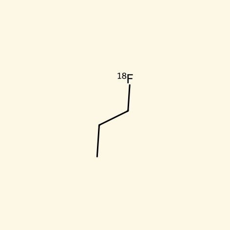 CCC[18F]